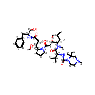 CC[C@H](C)[C@@H]([C@@H](CC(=O)N1CCC[C@H]1[C@H](OC)[C@@H](C)C(=O)N[C@H](CO)Cc1ccccc1)OC)N(C)C(=O)[C@@H](NC(=O)N1CCN(C)CC1(C)C)C(C)C